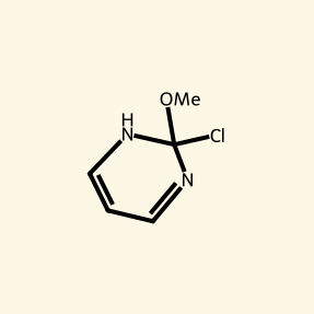 COC1(Cl)N=CC=CN1